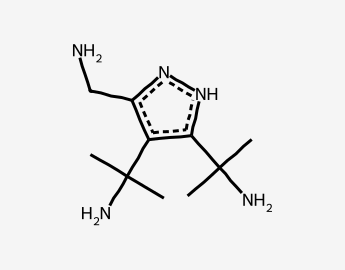 CC(C)(N)c1[nH]nc(CN)c1C(C)(C)N